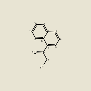 O=C(CF)c1cccc2ccccc12